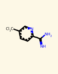 N=C(N)c1ccc(C(Cl)(Cl)Cl)cn1